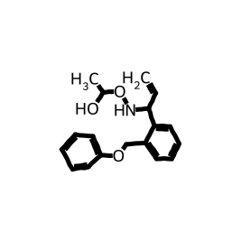 C=CC(NOC(C)O)c1ccccc1COc1ccccc1